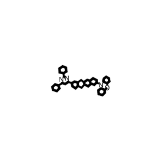 c1ccc(-c2cc(-c3ccc4c(c3)Cc3cc5ccc(N6c7ccccc7Oc7ccccc76)cc5cc3C4)nc(-c3ccccc3)n2)cc1